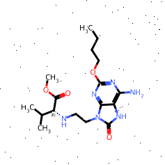 CCCCOc1nc(N)c2[nH]c(=O)n(CCN[C@@H](C(=O)OC)C(C)C)c2n1